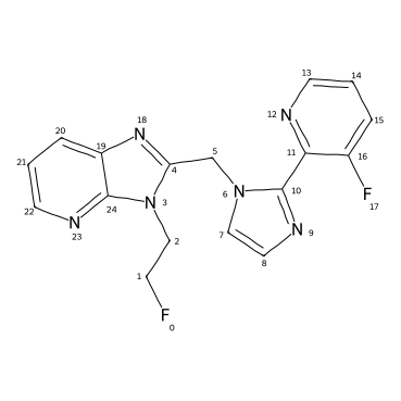 FCCn1c(Cn2ccnc2-c2ncccc2F)nc2cccnc21